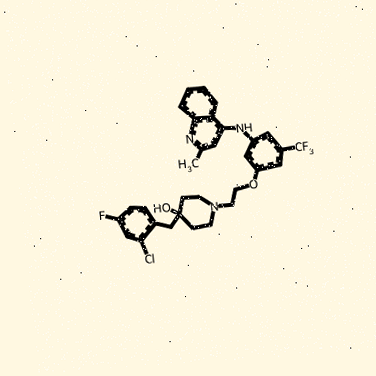 Cc1cc(Nc2cc(OCCN3CCC(O)(Cc4ccc(F)cc4Cl)CC3)cc(C(F)(F)F)c2)c2ccccc2n1